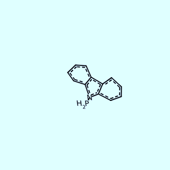 Pn1c2ccccc2c2ccccc21